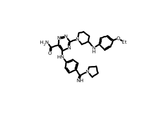 CCOc1ccc(NC2CCCN(c3nnc(C(N)=O)c(Nc4ccc(C(=N)N5CCCC5)cc4)n3)C2)cc1